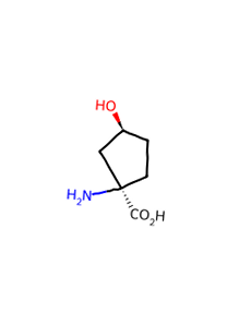 N[C@]1(C(=O)O)CC[C@H](O)C1